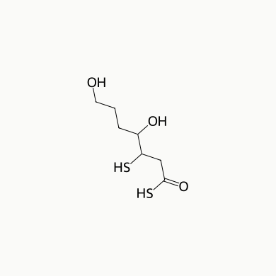 O=C(S)CC(S)C(O)CCCO